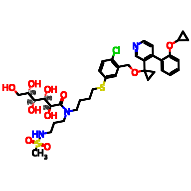 CS(=O)(=O)NCCCN(CCCCSc1ccc(Cl)c(COC2(c3cnccc3-c3ccccc3OC3CC3)CC2)c1)C(=O)[C@@H](O)[C@@H](O)[C@H](O)[C@@H](O)CO